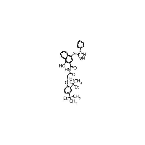 CCC(C)(C)c1ccc(OCCC(=O)NC(=O)c2cc(Sc3nnnn3-c3ccccc3)c3ccccc3c2O)c(C(C)(C)CC)c1